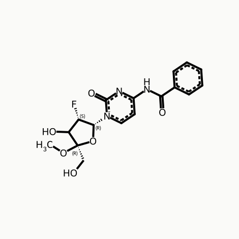 CO[C@]1(CO)O[C@@H](n2ccc(NC(=O)c3ccccc3)nc2=O)[C@@H](F)C1O